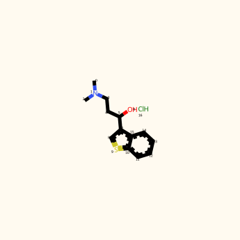 CN(C)CCC(O)c1csc2ccccc12.Cl